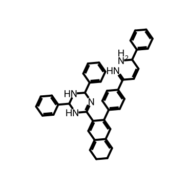 N=C(/C=C\C(N)c1ccccc1)c1ccc(-c2cc3c(cc2C2=NC(c4ccccc4)NC(c4ccccc4)N2)=CCCC=3)cc1